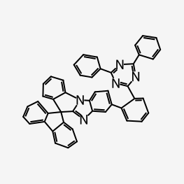 c1ccc(-c2nc(-c3ccccc3)nc(-c3ccccc3-c3ccc4c(c3)nc3n4-c4ccccc4C34c3ccccc3-c3ccccc34)n2)cc1